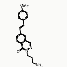 COc1ccc(C=Cc2ccc3c(=O)n(CCCN)ncc3c2)cc1